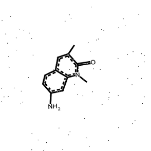 Cc1cc2ccc(N)cc2n(C)c1=O